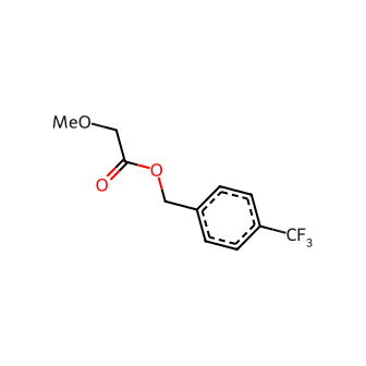 COCC(=O)OCc1ccc(C(F)(F)F)cc1